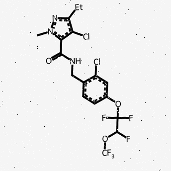 CCc1nn(C)c(C(=O)NCc2ccc(OC(F)(F)C(F)OC(F)(F)F)cc2Cl)c1Cl